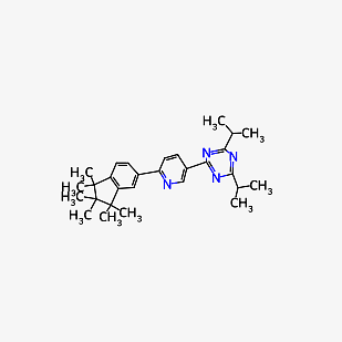 CC(C)c1nc(-c2ccc(-c3ccc4c(c3)C(C)(C)C(C)(C)C4(C)C)nc2)nc(C(C)C)n1